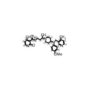 COc1ccc(N(Cc2cnccc2C)C2CCN(C(C)CCNC(=O)c3c(C)ccnc3Cl)CC2)cc1